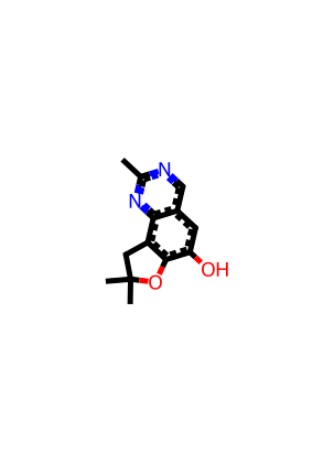 Cc1ncc2cc(O)c3c(c2n1)CC(C)(C)O3